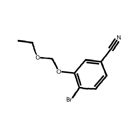 CCOCOc1cc(C#N)ccc1Br